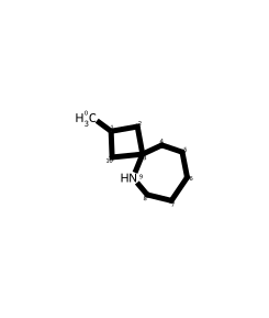 CC1CC2(CCCCCN2)C1